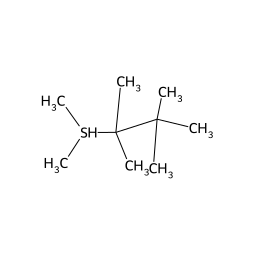 C[SH](C)C(C)(C)C(C)(C)C